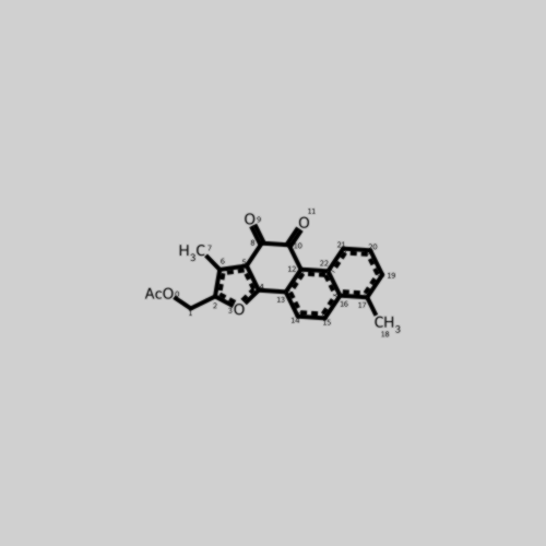 CC(=O)OCc1oc2c(c1C)C(=O)C(=O)c1c-2ccc2c(C)cccc12